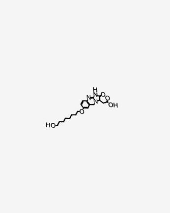 O=C(O)CC1C(=O)NC2=Nc3ccc(OCCCCCCCCO)cc3CN21